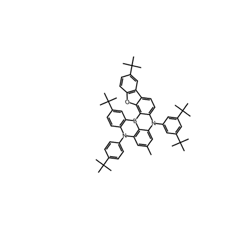 Cc1cc2c3c(c1)N(c1cc(C(C)(C)C)cc(C(C)(C)C)c1)c1ccc4c(oc5ccc(C(C)(C)C)cc54)c1B3c1cc(C(C)(C)C)ccc1N2c1ccc(C(C)(C)C)cc1